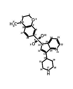 CN1CCOc2cc(S(=O)(=O)n3cc(C4CCNCC4)c4ncccc43)ccc21